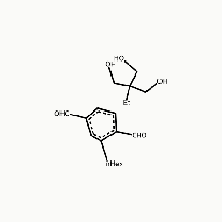 CCC(CO)(CO)CO.CCCCCCc1cc(C=O)ccc1C=O